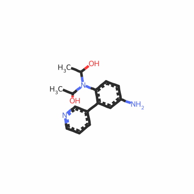 CC(O)N(c1ccc(N)cc1-c1cccnc1)C(C)O